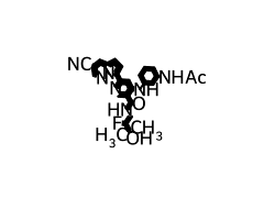 CC(=O)N[C@@H]1CCC[C@H](Nc2cc(-c3ccc4cc(C#N)cnn34)ncc2C(=O)NCC(F)C(C)(C)O)C1